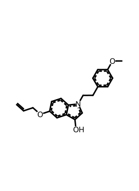 C=CCOc1ccc2c(c1)c(O)cn2CCc1ccc(OC)cc1